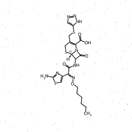 CCCCCCON=C(C(=O)NC1C(=O)N2C(C(=O)O)=C(CSc3cnn[nH]3)CS[C@@H]12)c1csc(N)n1